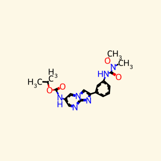 CON(C)C(=O)Nc1cccc(-c2cn3cc(NC(=O)OC(C)C)cnc3n2)c1